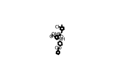 Cc1ccc(CNC(=O)c2cc([N+](=O)[O-])ccc2NC2CCC(OC(=O)c3ccccc3)CC2)cc1Cl